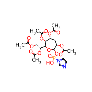 CC(=O)OC[C@@H](OC(C)=O)C1OC(OP(=O)(O)n2ccnc2)[C@H](OC(C)=O)C[C@@H](OC(C)=O)C1OC(C)=O